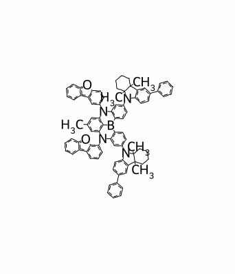 Cc1cc2c3c(c1)N(c1cccc4c1oc1ccccc14)c1cc(N4c5ccc(-c6ccccc6)cc5C5(C)CCCCC45C)ccc1B3c1ccc(N3c4ccc(-c5ccccc5)cc4C4(C)CCCCC34C)cc1N2c1ccc2oc3ccccc3c2c1